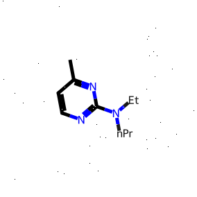 CCCN(CC)c1nccc(C)n1